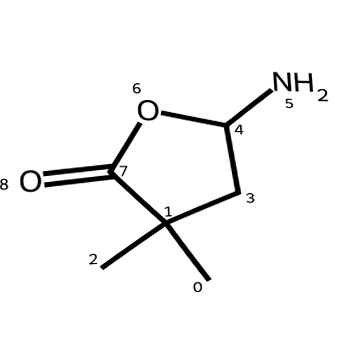 CC1(C)CC(N)OC1=O